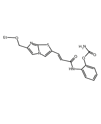 CCOCc1cn2cc(C=CC(=O)Nc3ccccc3OC(N)=O)sc2n1